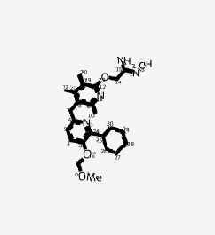 COCOc1ccc(Cc2c(C)nc(OC/C(N)=N/O)c(C)c2C)nc1C1CCCCC1